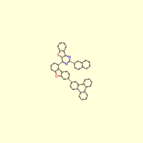 c1ccc2cc(-c3nc(-c4cccc5oc6cc(-c7ccc8c9ccccc9c9ccccc9c8c7)ccc6c45)c4sc5ccccc5c4n3)ccc2c1